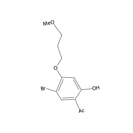 COCCCOc1cc(O)c(C(C)=O)cc1Br